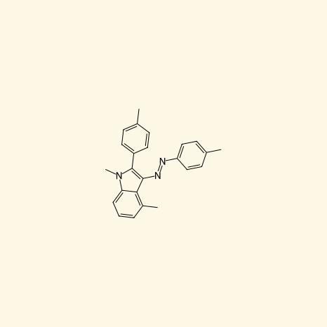 Cc1ccc(N=Nc2c(-c3ccc(C)cc3)n(C)c3cccc(C)c23)cc1